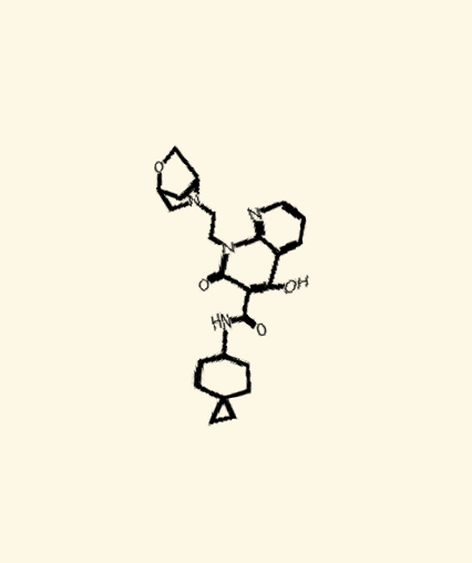 O=C(NC1CCC2(CC1)CC2)c1c(O)c2cccnc2n(CCN2CC3CC2CO3)c1=O